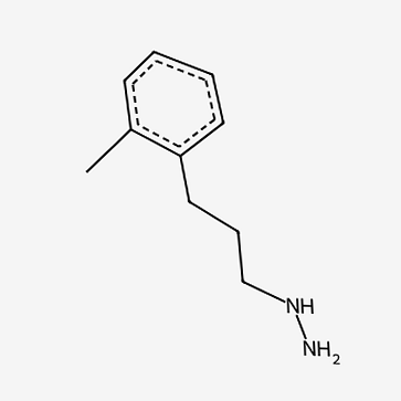 Cc1ccccc1CCCNN